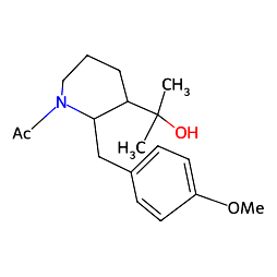 COc1ccc(CC2C(C(C)(C)O)CCCN2C(C)=O)cc1